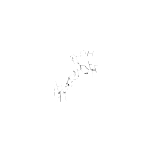 O=C(OC(C(F)(F)F)C(F)(F)F)N1CCN(Cc2ccc(C(F)(F)F)cc2N2CCCC2CO)CC1